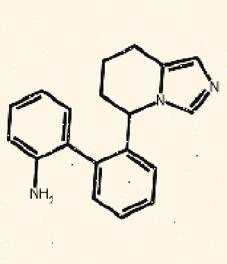 Nc1ccccc1-c1ccccc1C1CCCc2cncn21